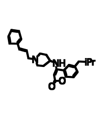 CC(C)Cc1ccc2oc(=O)cc(NC3CCN(C/C=C/c4ccccc4)CC3)c2c1